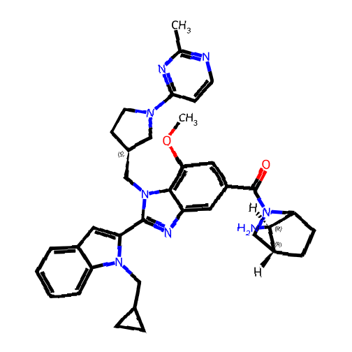 COc1cc(C(=O)N2C[C@H]3CCC2[C@@H]3N)cc2nc(-c3cc4ccccc4n3CC3CC3)n(C[C@H]3CCN(c4ccnc(C)n4)C3)c12